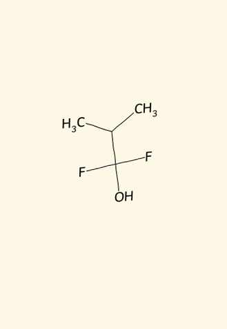 CC(C)C(O)(F)F